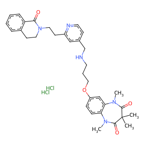 CN1C(=O)C(C)(C)C(=O)N(C)c2cc(OCCCNCc3ccnc(CCN4CCc5ccccc5C4=O)c3)ccc21.Cl.Cl